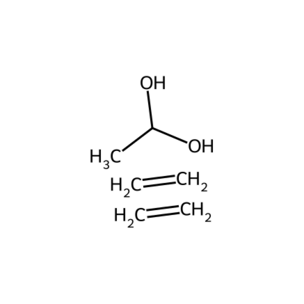 C=C.C=C.CC(O)O